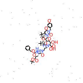 COc1ccc(Cn2c(=O)ccn([C@@H]3OC([C@H](O)[C@H](NCCCNC(=O)[C@H](CCC(=O)OC(C)(C)C)NC(=O)OCc4ccccc4)C(=O)O)[C@@H](O[Si](C)(C)C(C)(C)C)[C@H]3O[Si](C)(C)C(C)(C)C)c2=O)cc1